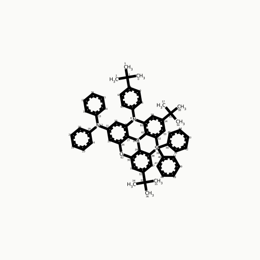 CC(C)(C)c1ccc(N2c3cc(N(c4ccccc4)c4ccccc4)cc4c3B3c5c(cc(C(C)(C)C)cc5[Si](c5ccccc5)(c5ccccc5)c5cc(C(C)(C)C)cc2c53)O4)cc1